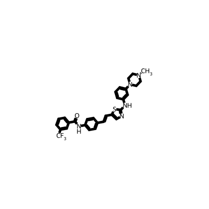 CN1CCN(c2cccc(Nc3ncc(/C=C/c4ccc(NC(=O)c5cccc(C(F)(F)F)c5)cc4)s3)c2)CC1